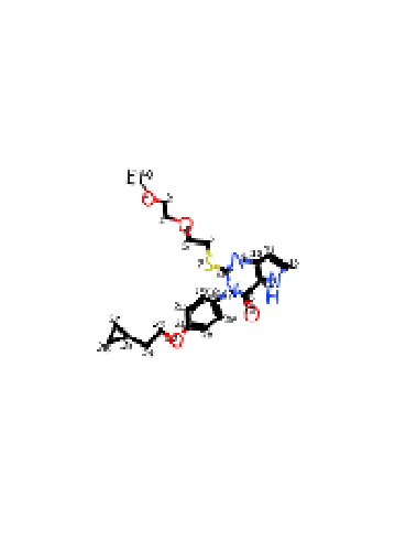 CCOCCOCCSc1nc2cc[nH]c2c(=O)n1-c1ccc(OCCC2CC2)cc1